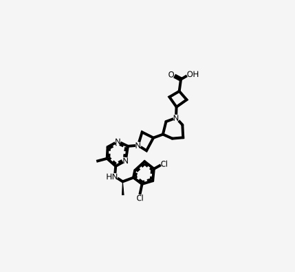 Cc1cnc(N2CC(C3CCCN(C4CC(C(=O)O)C4)C3)C2)nc1N[C@H](C)c1ccc(Cl)cc1Cl